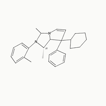 Cc1ccccc1N1C(C)N2C=CC(c3ccccc3)(C3CCCCC3)C2[C@@H]1C